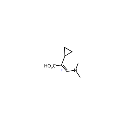 CN(C)/C=C(/C(=O)O)C1CC1